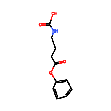 O=C(O)NCCCC(=O)Oc1ccccc1